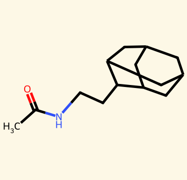 CC(=O)NCCC1C2CC3CC(C2)CC1C3